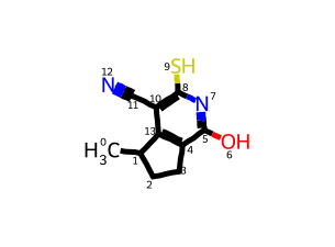 CC1CCc2c(O)nc(S)c(C#N)c21